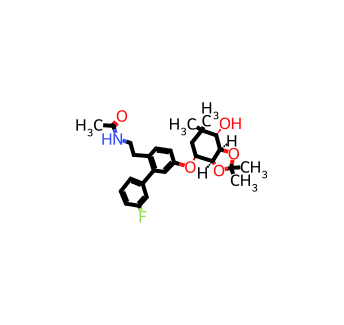 CC(=O)NCCc1ccc(O[C@@H]2CC(C)(C)[C@H](O)[C@H]3OC(C)(C)O[C@H]32)cc1-c1cccc(F)c1